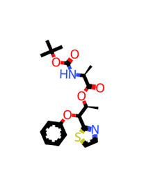 C[C@H](NC(=O)OC(C)(C)C)C(=O)O[C@@H](C)C(Oc1ccccc1)c1nccs1